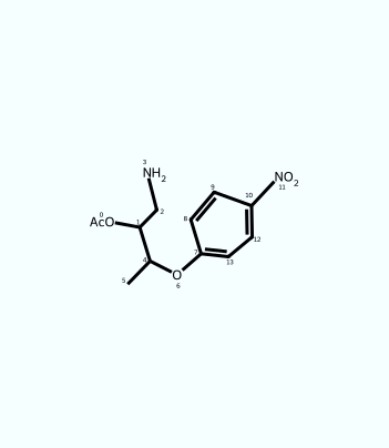 CC(=O)OC(CN)C(C)Oc1ccc([N+](=O)[O-])cc1